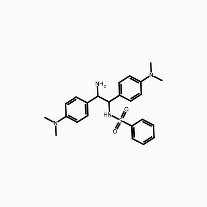 CN(C)c1ccc(C(N)C(NS(=O)(=O)c2ccccc2)c2ccc(N(C)C)cc2)cc1